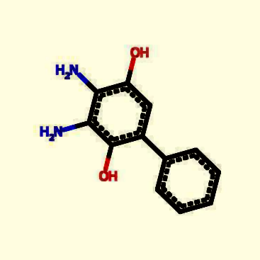 Nc1c(O)cc(-c2ccccc2)c(O)c1N